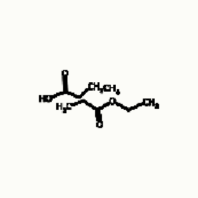 C.CCC(=O)O.CCOC(=O)CC